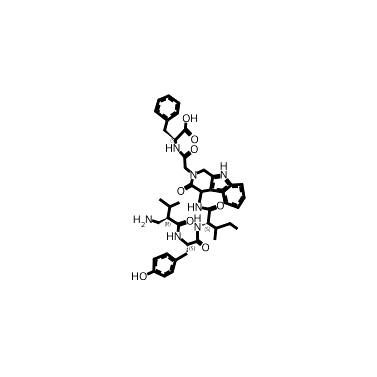 CCC(C)[C@H](NC(=O)[C@H](Cc1ccc(O)cc1)NC(=O)[C@@H](CN)C(C)C)C(=O)NC1C(=O)N(CC(=O)N[C@@H](Cc2ccccc2)C(=O)O)Cc2[nH]c3ccccc3c21